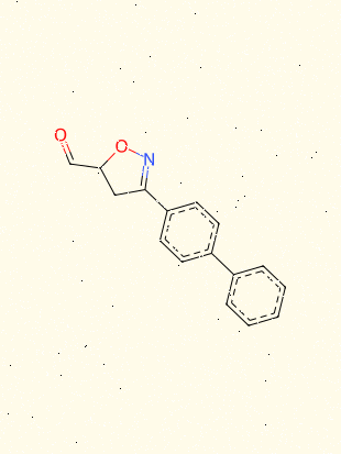 O=CC1CC(c2ccc(-c3ccccc3)cc2)=NO1